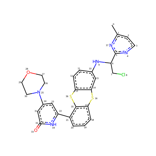 Cc1ccnc(C(CCl)Nc2ccc3c(c2)Sc2cccc(-c4cc(N5CCOCC5)cc(=O)[nH]4)c2S3)n1